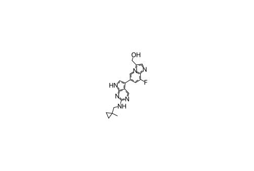 CC1(CNc2ncc3c(-c4cc(F)c5ncc(CO)n5c4)c[nH]c3n2)CC1